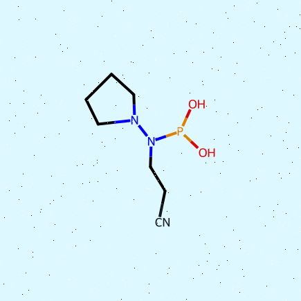 N#CCCN(N1CCCC1)P(O)O